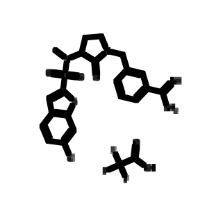 CN(C1CCN(Cc2cccc(C(=N)N)c2)C1=O)S(=O)(=O)c1cc2ccc(Cl)cc2s1.O=C(O)C(F)(F)F